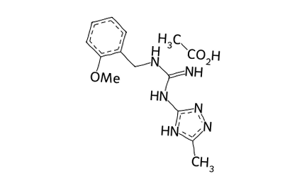 CC(=O)O.COc1ccccc1CNC(=N)Nc1nnc(C)[nH]1